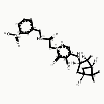 C[C@@H]1[C@H]2C[C@@H](C[C@H]1Nc1cnn(CC(=O)NCc3cccc([N+](=O)[O-])c3)c(=O)c1Br)C2(C)C